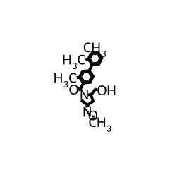 CO/N=C1\CC(CO)N(C(=O)c2ccc(-c3cccc(C)c3C)cc2C)C1